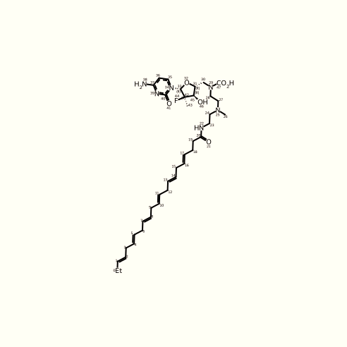 CCC=CCC=CCC=CCC=CCC=CCC=CCCC(=O)NCCN(C)CCN(C[C@H]1O[C@@H](n2ccc(N)nc2=O)[C@](C)(F)[C@@H]1O)C(=O)O